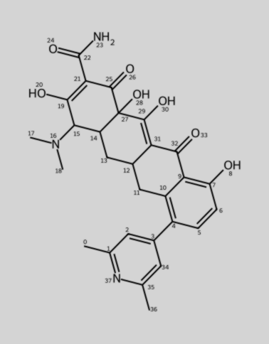 Cc1cc(-c2ccc(O)c3c2CC2CC4C(N(C)C)C(O)=C(C(N)=O)C(=O)C4(O)C(O)=C2C3=O)cc(C)n1